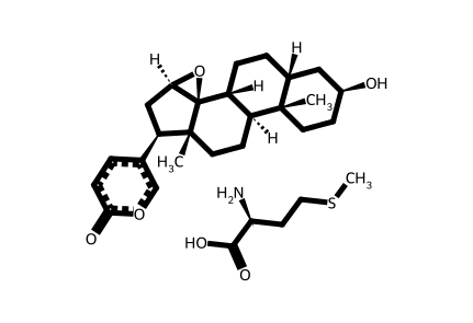 CSCC[C@H](N)C(=O)O.C[C@]12CC[C@H](O)C[C@H]1CC[C@@H]1[C@@H]2CC[C@]2(C)[C@@H](c3ccc(=O)oc3)C[C@H]3O[C@]132